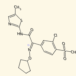 Cc1cnc(NC(=O)/C(=N/OC2CCCC2)c2ccc(S(C)(=O)=O)c(Cl)c2)s1